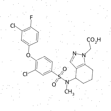 CN(C1CCCc2c1cnn2CC(=O)O)S(=O)(=O)c1ccc(Oc2ccc(F)c(Cl)c2)c(Cl)c1